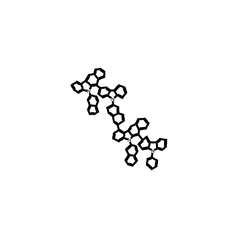 c1ccc(-n2c3ccccc3c3cc(-c4c5ccccc5cc5c6c(-c7ccc8cc(-n9c%10ccccc%10c%10cc(-c%11c%12ccccc%12cc%12c%13ccccc%13n(-c%13ccc%14ccccc%14c%13)c%11%12)ccc%109)ccc8c7)cccc6n(-c6ccc7ccccc7c6)c45)ccc32)cc1